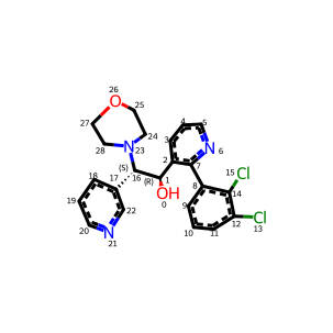 O[C@H](c1cccnc1-c1cccc(Cl)c1Cl)[C@H](c1cccnc1)N1CCOCC1